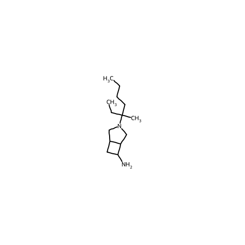 CCCCC(C)(CC)N1CC2CC(N)C2C1